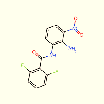 Nc1c(NC(=O)c2c(F)cccc2F)cccc1[N+](=O)[O-]